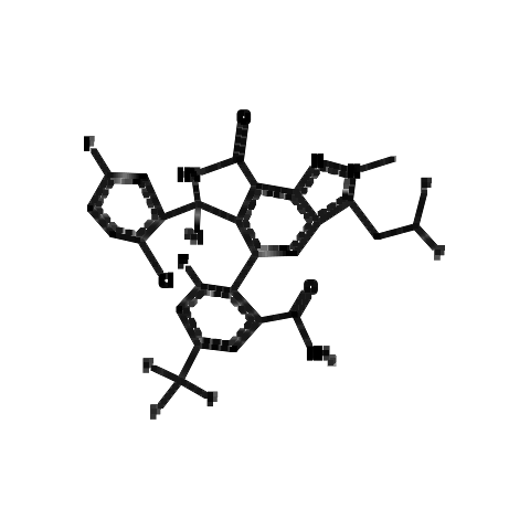 [2H]C1(c2cc(F)ccc2Cl)NC(=O)c2c1c(-c1c(F)cc(C(F)(F)F)cc1C(N)=O)cc1c(CC(F)F)n(C)nc21